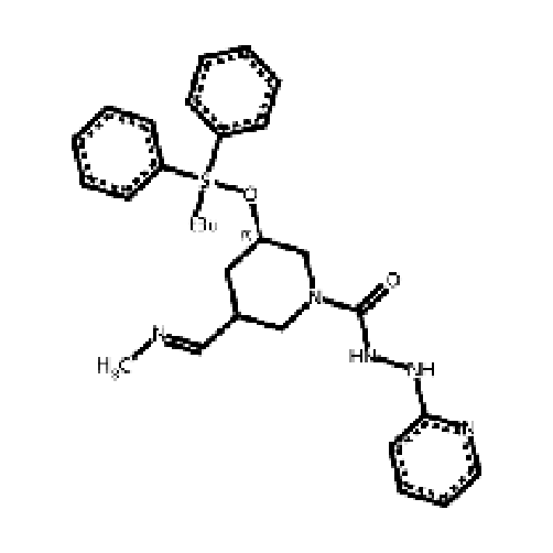 CN=CC1C[C@@H](O[Si](c2ccccc2)(c2ccccc2)C(C)(C)C)CN(C(=O)NNc2ccccn2)C1